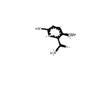 COc1ccc(OC)c(C(N)=O)n1